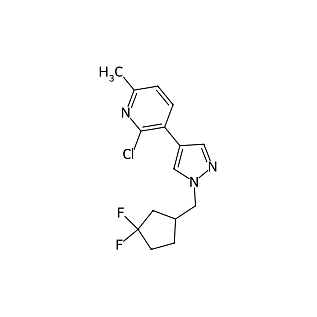 Cc1ccc(-c2cnn(CC3CCC(F)(F)C3)c2)c(Cl)n1